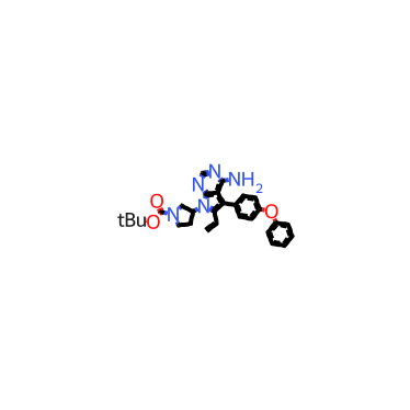 C=Cc1c(-c2ccc(Oc3ccccc3)cc2)c2c(N)ncnc2n1C1CCN(C(=O)OC(C)(C)C)C1